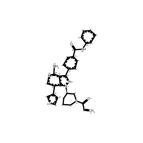 C=CC(=O)N1CCC[C@@H](n2nc(-c3ccc(C(=O)Nc4ccccc4)cc3)c3c(N)ncc(-c4ccsc4)c32)C1